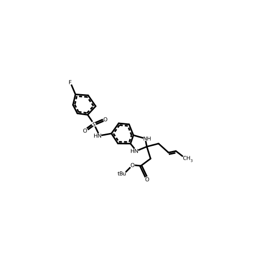 CC=CCC1(CC(=O)OC(C)(C)C)Nc2ccc(NS(=O)(=O)c3ccc(F)cc3)cc2N1